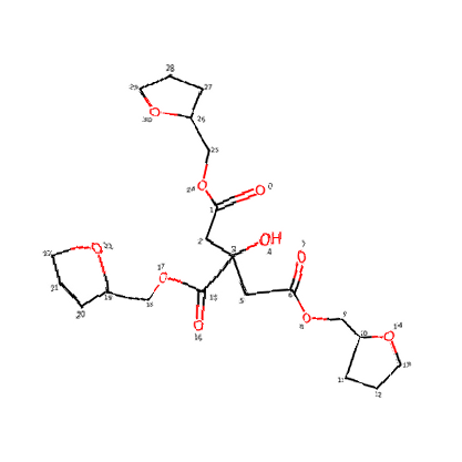 O=C(CC(O)(CC(=O)OCC1CCCO1)C(=O)OCC1CCCO1)OCC1CCCO1